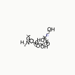 C=C(C)Oc1ccc([C@H](CC)OC(=O)C[C@H](O)C(C)(C)C(=O)[C@H](C)[C@@H](O)[C@@H](C)/C=C/CC(C)(C)O)cc1N